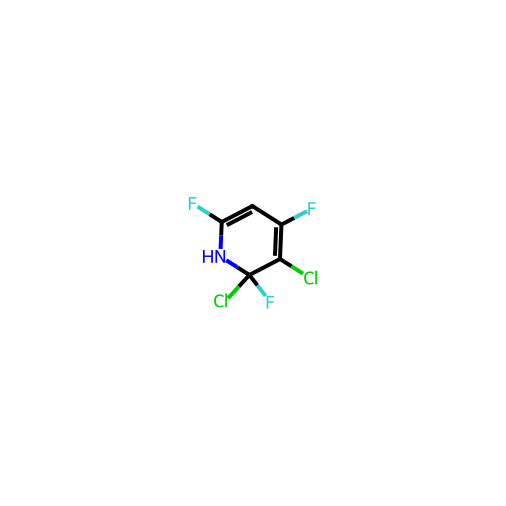 FC1=CC(F)=C(Cl)C(F)(Cl)N1